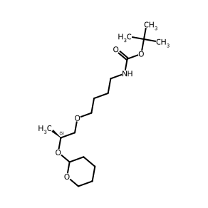 C[C@@H](COCCCCNC(=O)OC(C)(C)C)OC1CCCCO1